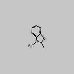 [CH2]C1Oc2ccccc2N1C(F)(F)F